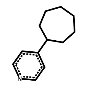 c1cc(C2CCCCCC2)ccn1